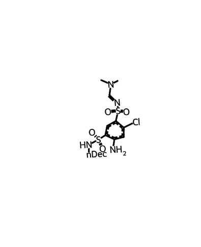 CCCCCCCCCCNS(=O)(=O)c1cc(S(=O)(=O)N=CN(C)C)c(Cl)cc1N